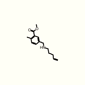 C=CCCCNCc1ccc(C)c(C(=O)OC)c1